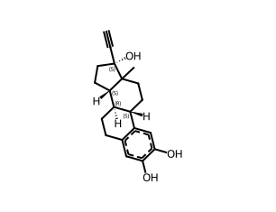 C#C[C@]1(O)CC[C@H]2[C@@H]3CCc4cc(O)c(O)cc4[C@H]3CCC21C